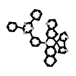 c1ccc(-c2nc(-c3ccccc3)nc(-c3cccc(N4c5cc6ccccc6cc5C5(c6cc7cccnc7cc64)c4ccsc4-c4sccc45)c3)n2)cc1